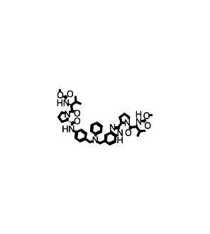 COC(=O)N[C@H](C(=O)N1CCCC1c1nc2cc(CN(Cc3ccc(NC(=O)[C@@H]4CCCN4C(=O)[C@@H](NC(=O)OC)C(C)C)cc3)c3ccccc3)ccc2[nH]1)C(C)C